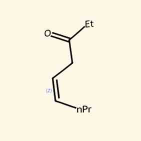 CCC/C=C\CC(=O)CC